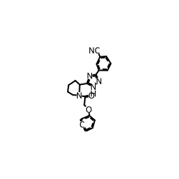 N#Cc1cccc(-c2n[nH]c(C3CCCCN3C(=O)COc3ccccc3)n2)c1